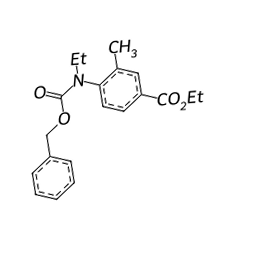 CCOC(=O)c1ccc(N(CC)C(=O)OCc2ccccc2)c(C)c1